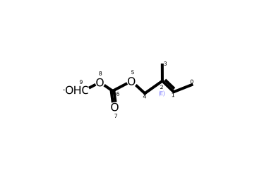 C/C=C(\C)COC(=O)O[C]=O